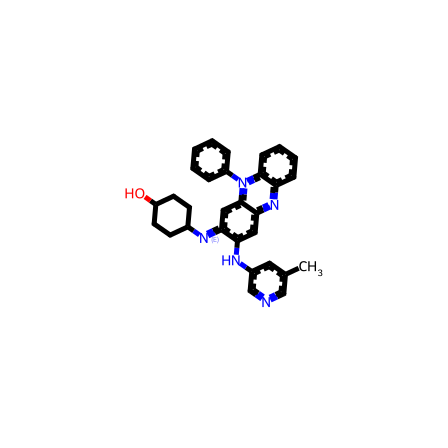 Cc1cncc(Nc2cc3nc4ccccc4n(-c4ccccc4)c-3c/c2=N\C2CCC(O)CC2)c1